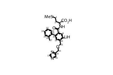 CSCC[C@H](NC(=O)c1ccc(COCc2cncs2)cc1-c1ccccc1C)C(=O)O.[LiH]